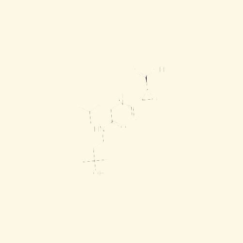 CC(C)C[C@H](NC(=O)[C@H]1O[C@@H]1C(=O)O)C(=O)NCCC(C)(C)O